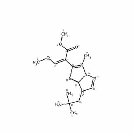 CO/C=C(\C(=O)OC)C1=C(C)N2N=CN(CC(C)(C)C)C2S1